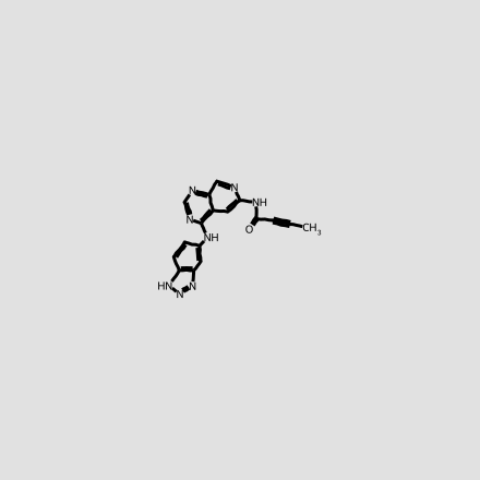 CC#CC(=O)Nc1cc2c(Nc3ccc4[nH]nnc4c3)ncnc2cn1